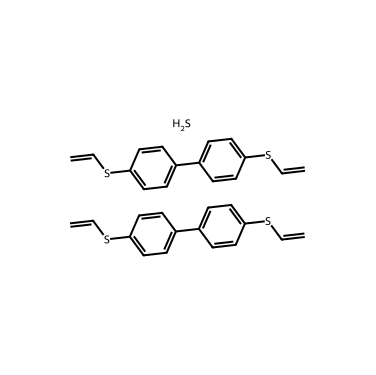 C=CSc1ccc(-c2ccc(SC=C)cc2)cc1.C=CSc1ccc(-c2ccc(SC=C)cc2)cc1.S